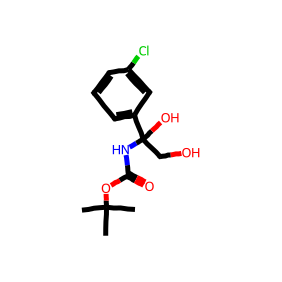 CC(C)(C)OC(=O)NC(O)(CO)c1cccc(Cl)c1